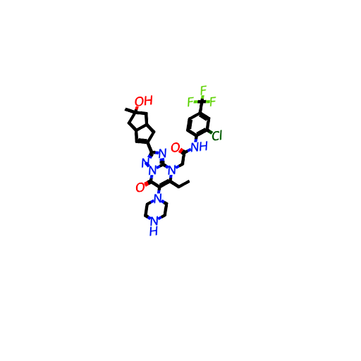 CCc1c(N2CCNCC2)c(=O)n2nc(C3=CC4CC(C)(O)CC4C3)nc2n1CC(=O)Nc1ccc(C(F)(F)F)cc1Cl